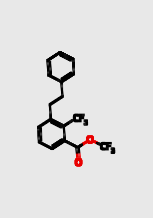 O=C(OC(F)(F)F)c1cccc(CCc2ccccc2)c1C(F)(F)F